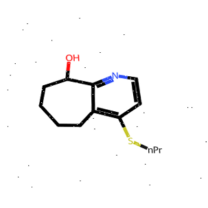 CCCSc1ccnc2c1CCCCC2O